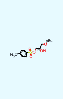 CCCCOC[C@@H](O)COS(=O)(=O)c1ccc(C)cc1